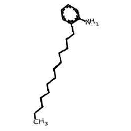 CCCCCCCCCCCCCc1ccccc1N